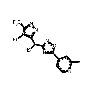 CCn1c(C(S)c2noc(-c3ccnc(C)c3)n2)nnc1C(F)(F)F